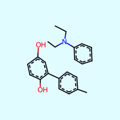 CCN(CC)c1ccccc1.Cc1ccc(-c2cc(O)ccc2O)cc1